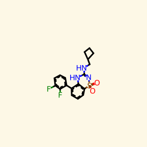 O=S1(=O)N=C(NCC2CCC2)Nc2c(-c3cccc(F)c3F)cccc21